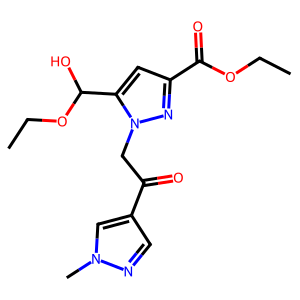 CCOC(=O)c1cc(C(O)OCC)n(CC(=O)c2cnn(C)c2)n1